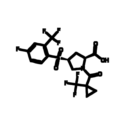 O=C(O)[C@@H]1C[C@@H](S(=O)(=O)c2ccc(F)cc2C(F)(F)F)CN1C(=O)C1(C(F)(F)F)CC1